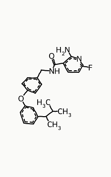 CC(C)C(C)c1cccc(Oc2ccc(CNC(=O)c3ccc(F)nc3N)cc2)c1